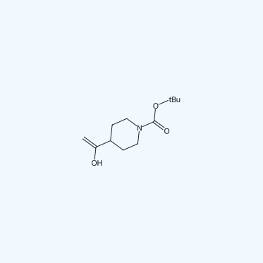 C=C(O)C1CCN(C(=O)OC(C)(C)C)CC1